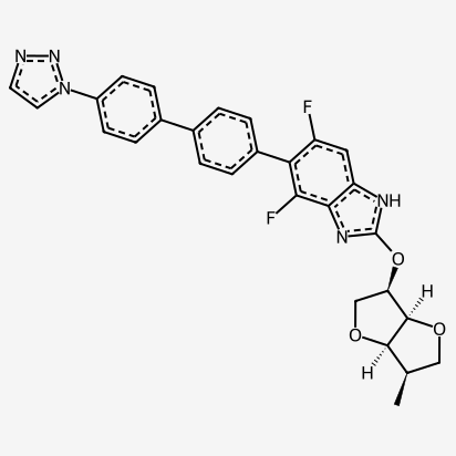 C[C@@H]1CO[C@H]2[C@@H]1OC[C@H]2Oc1nc2c(F)c(-c3ccc(-c4ccc(-n5ccnn5)cc4)cc3)c(F)cc2[nH]1